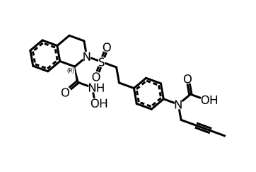 CC#CCN(C(=O)O)c1ccc(CCS(=O)(=O)N2CCc3ccccc3[C@@H]2C(=O)NO)cc1